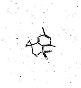 Cc1cc(C)c2c(c1)C1(CC1)COS2(=O)=O